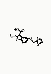 Cc1oc2ccc(OCc3nccs3)cc2c1C(=O)O